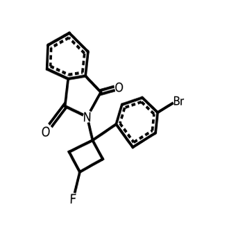 O=C1c2ccccc2C(=O)N1C1(c2ccc(Br)cc2)CC(F)C1